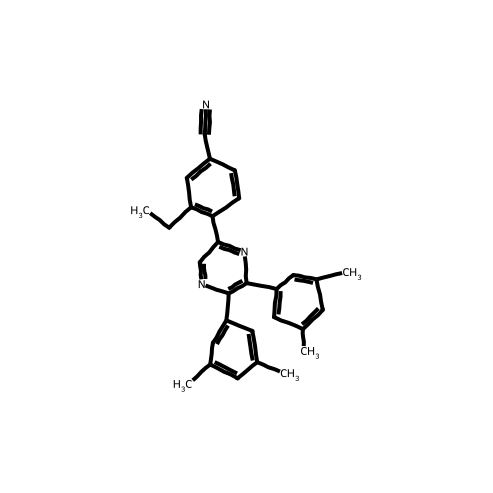 CCc1cc(C#N)ccc1-c1cnc(-c2cc(C)cc(C)c2)c(-c2cc(C)cc(C)c2)n1